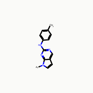 CC(=O)n1ccc2cnc(Nc3ccc(C)cc3)nc21